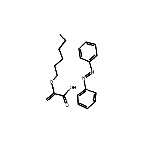 C=C(OCCCCCC)C(=O)O.c1ccc(N=Nc2ccccc2)cc1